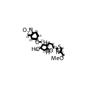 COCc1csc([C@H]2CC[C@@H]3[C@@H](COc4ccc([N+](=O)[O-])c(C)c4)[C@H](O)C[C@@H]3O2)n1